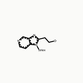 CCCCCCn1c(CC[O])nc2cnccc21